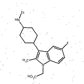 CCNC1CCC(c2c(C)n(CC(=O)O)c3ccc(F)cc23)CC1